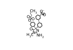 CCCS(=O)(=O)Oc1ccc(C2(c3cccc(-c4cccc([N+](=O)[O-])c4)c3)N=C(N)N(C)C2=O)cc1